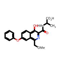 COCc1nc(C(=O)[AsH]C(C)C(=O)O)c(O)c2ccc(Oc3ccccc3)cc12